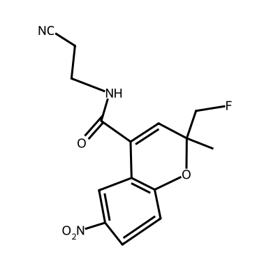 CC1(CF)C=C(C(=O)NCCC#N)c2cc([N+](=O)[O-])ccc2O1